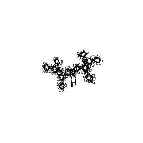 c1ccc(-c2cc(-c3ccccc3)c3sc4c(-c5ccc6c(c5)[nH]c5cc(-c7cc(-c8ccccc8)cc8c7sc7c(-c9ccccc9)cc(-c9ccccc9)cc78)ccc56)cc(-c5ccccc5)cc4c3c2)cc1